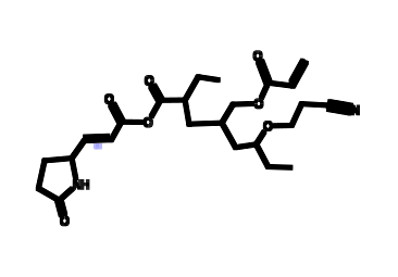 C=CC(=O)OCC(CC(CC)OCCC#N)CC(CC)C(=O)OC(=O)/C=C/C1CCC(=O)N1